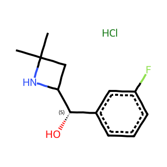 CC1(C)CC([C@@H](O)c2cccc(F)c2)N1.Cl